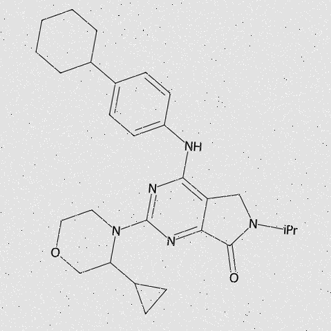 CC(C)N1Cc2c(Nc3ccc(C4CCCCC4)cc3)nc(N3CCOCC3C3CC3)nc2C1=O